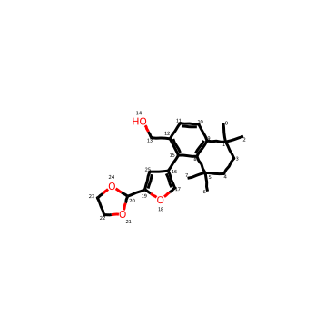 CC1(C)CCC(C)(C)c2c1ccc(CO)c2-c1coc(C2OCCO2)c1